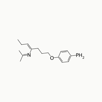 CC/C=C(/CCCOc1ccc(P)cc1)N=C(C)C